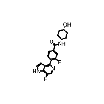 O=C(N[C@H]1CC[C@@H](O)CC1)c1ccc(-c2ncc(F)c3[nH]ccc23)c(F)c1